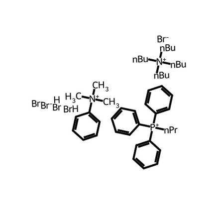 Br.Br.CCCC[N+](CCCC)(CCCC)CCCC.CCC[P+](c1ccccc1)(c1ccccc1)c1ccccc1.C[N+](C)(C)c1ccccc1.[Br-].[Br-].[Br-]